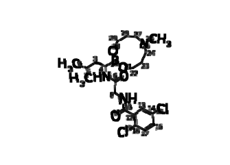 CC(C)C[C@H](NC(=O)CNC(=O)c1cc(Cl)ccc1Cl)B1OCCCN(C)CCCO1